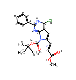 COC(=O)/C=C/c1cc2c(Cl)nc(-c3ccccc3)nc2n1C(=O)OC(C)(C)C